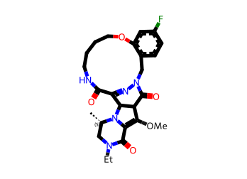 CCN1C[C@H](C)N2C(=C(OC)C3C(=O)N4Cc5ccc(F)cc5OCCCCNC(=O)C(=N4)C32)C1=O